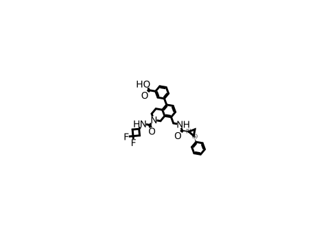 O=C(O)c1cccc(-c2ccc(CNC(=O)[C@H]3C[C@@H]3c3ccccc3)c3c2CCN(C(=O)NC2CC(F)(F)C2)C3)c1